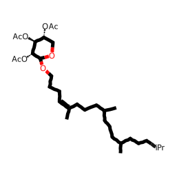 CC(=O)O[C@H]1[C@H](OC(C)=O)COC(OCCCC=C(C)CCCC(C)CCCC(C)CCCC(C)C)[C@@H]1OC(C)=O